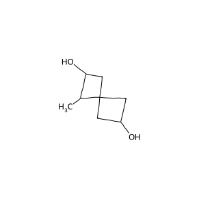 CC1C(O)CC12CC(O)C2